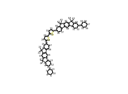 CC1(C)c2cc(-c3ccccc3)ccc2-c2cc3c(cc21)C(C)(C)c1cc(-c2ccc(-c4ccc(-c5ccc6c(c5)C(C)(C)c5cc7c(cc5-6)-c5ccc(-c6ccccc6)cc5C7(C)C)s4)s2)ccc1-3